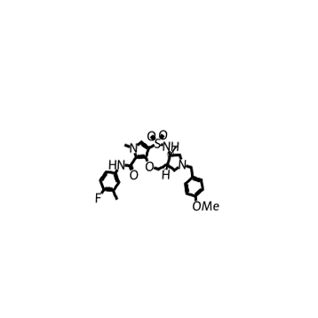 COc1ccc(CN2C[C@@H]3COc4c(cn(C)c4C(=O)Nc4ccc(F)c(C)c4)S(=O)(=O)N[C@]3(C)C2)cc1